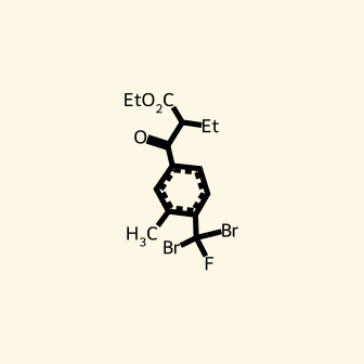 CCOC(=O)C(CC)C(=O)c1ccc(C(F)(Br)Br)c(C)c1